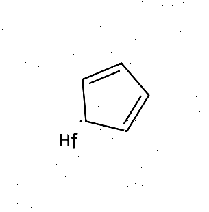 [CH]1C=CC=C1.[Hf]